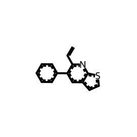 C=Cc1nc2sccc2cc1-c1ccccc1